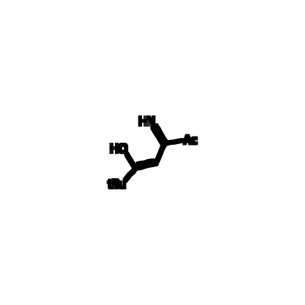 CC(=O)C(=N)/C=C(\O)C(C)(C)C